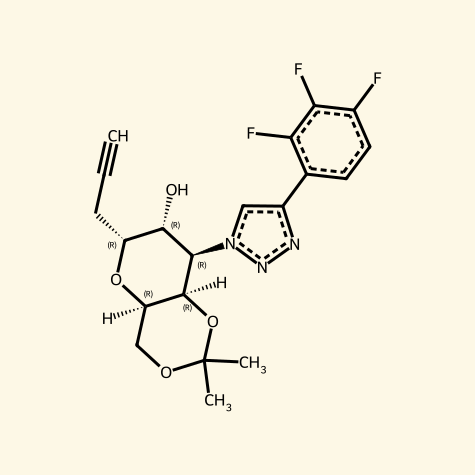 C#CC[C@H]1O[C@@H]2COC(C)(C)O[C@@H]2[C@H](n2cc(-c3ccc(F)c(F)c3F)nn2)[C@H]1O